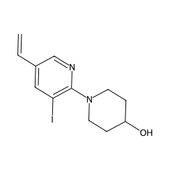 C=Cc1cnc(N2CCC(O)CC2)c(I)c1